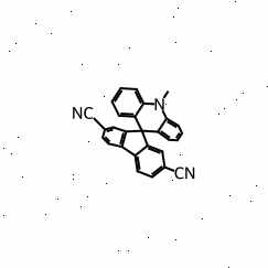 CN1c2ccccc2C2(c3cc(C#N)ccc3-c3ccc(C#N)cc32)c2ccccc21